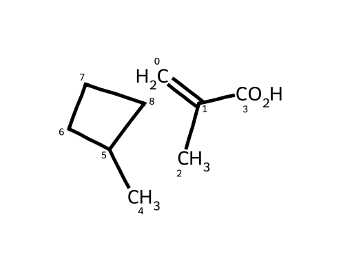 C=C(C)C(=O)O.CC1CCC1